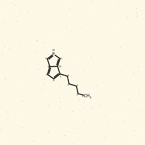 CCCCCC1=CC=C2C=PC=C21